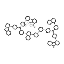 CC1(C)c2ccccc2-c2cccc(-c3ccc(N(c4ccc(-c5cccc6sc7ccccc7c56)cc4)c4cccc(-c5ccc(-c6cccc(-c7cccc(-c8ccc(N(c9ccc(-c%10cccc%11sc%12ccccc%12c%10%11)cc9)c9cccc(-c%10cccc%11ccccc%10%11)c9)cc8)c7)c6)c6ccccc56)c4)cc3)c21